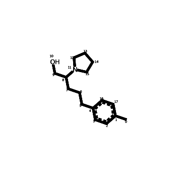 Cc1ccc(CCCC(CO)N2CCCC2)cc1